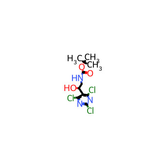 CC(C)(C)OC(=O)NCC(O)c1c(Cl)nc(Cl)nc1Cl